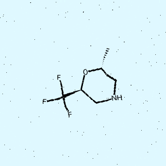 C[C@@H]1CNC[C@@H](C(F)(F)F)O1